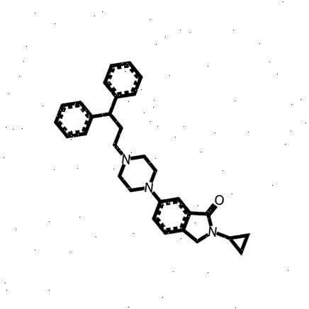 O=C1c2cc(N3CCN(CCC(c4ccccc4)c4ccccc4)CC3)ccc2CN1C1CC1